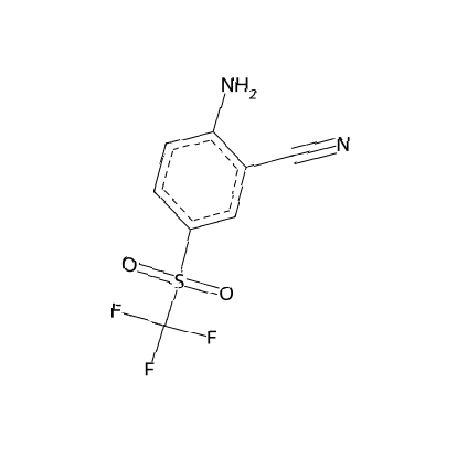 N#Cc1cc(S(=O)(=O)C(F)(F)F)ccc1N